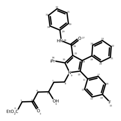 CCOC(=O)CC(=O)CC(O)CCn1c(-c2ccc(F)cc2)c(-c2ccccc2)c(C(=O)Nc2ccccc2)c1C(C)C